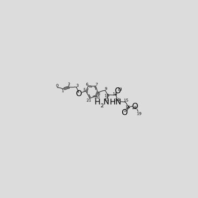 CC#CCOc1ccc(C[C@H](N)C(=O)NCC(=O)OC)cc1